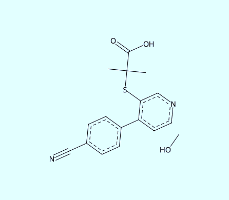 CC(C)(Sc1cnccc1-c1ccc(C#N)cc1)C(=O)O.CO